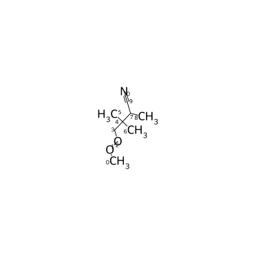 COOCC(C)(C)C(C)C#N